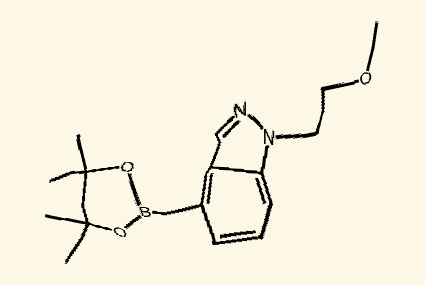 COCCn1ncc2c(B3OC(C)(C)C(C)(C)O3)cccc21